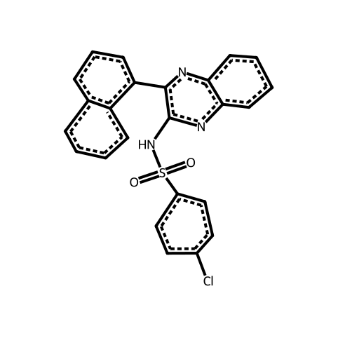 O=S(=O)(Nc1nc2ccccc2nc1-c1cccc2ccccc12)c1ccc(Cl)cc1